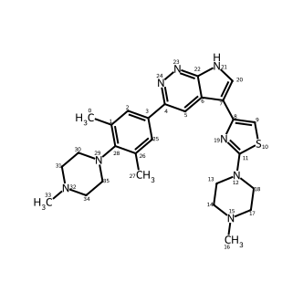 Cc1cc(-c2cc3c(-c4csc(N5CCN(C)CC5)n4)c[nH]c3nn2)cc(C)c1N1CCN(C)CC1